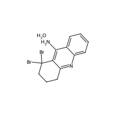 Nc1c2c(nc3ccccc13)CCCC2(Br)Br.O